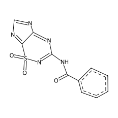 O=C(NC1=NS(=O)(=O)C2=NC=NC2=N1)c1ccccc1